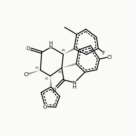 Cc1ccc(F)cc1[C@H]1NC(=O)[C@@H](Cl)[C@@H](c2ccoc2)[C@]12C(=O)Nc1cc(Cl)ccc12